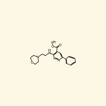 CCCOC(=O)c1cc(-c2ccccc2)nnc1NCCN1CCOCC1